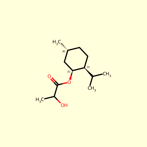 CC(O)C(=O)O[C@H]1C[C@H](C)CC[C@H]1C(C)C